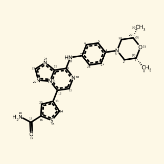 C[C@@H]1CN(c2ccc(Nc3ncc(-c4csc(C(N)=O)c4)n4ncnc34)cc2)C[C@H](C)O1